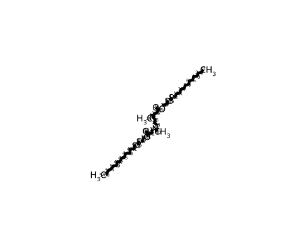 CCCCCCCCCCCCCCSSSCCOC(=O)CCN(C)CCCN(C)CCC(=O)OCCSSSCCCCCCCCCCCCCC